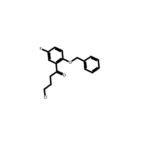 O=C(CCCCl)c1cc(F)ccc1OCc1ccccc1